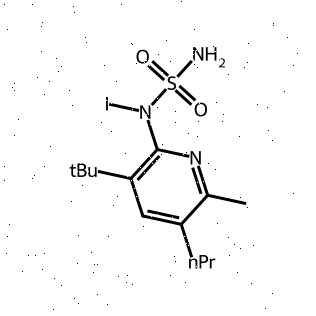 CCCc1cc(C(C)(C)C)c(N(I)S(N)(=O)=O)nc1C